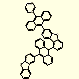 C1=CC2=C(c3ccc4sc5ccccc5c4c3)c3ccccc3C(c3cccc4oc5cc(-c6c7ccccc7c(-c7ccccc7)c7ccccc67)ccc5c34)C2C=C1